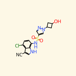 N#Cc1c[nH]c2c(NS(=O)(=O)c3cnn(C4CC(O)C4)c3)ccc(Cl)c12